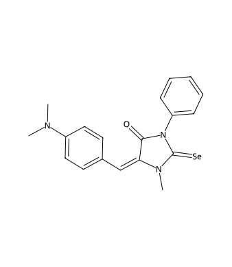 CN1C(=[Se])N(c2ccccc2)C(=O)C1=Cc1ccc(N(C)C)cc1